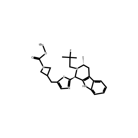 C[C@@H]1Cc2c([nH]c3ccccc23)[C@@H](c2ncc(CC3CN(C(=O)OC(C)(C)C)C3)s2)N1CC(C)(C)F